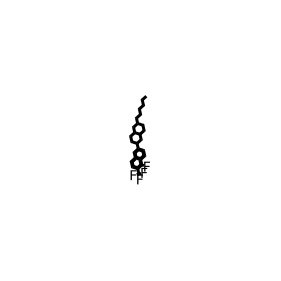 CCCCCCC1CCC2CC(c3ccc4c(F)c(C(F)(F)F)ccc4c3)CCC2C1